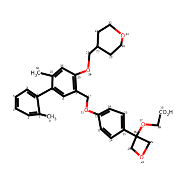 Cc1ccccc1-c1cc(COc2ccc(C3(OCC(=O)O)COC3)cc2)c(OCC2CCOCC2)cc1C